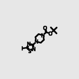 CC(C)(C)OC(=O)N1CCN(c2nsc(I)n2)CC1